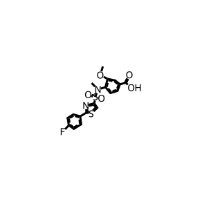 COc1cc(C(=O)O)ccc1N(C)S(=O)(=O)c1csc(-c2ccc(F)cc2)n1